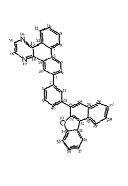 c1cc(-c2ccc3c4ccccc4c4nccnc4c3c2)cc(-c2cc3ccccc3c3c2oc2ccccc23)c1